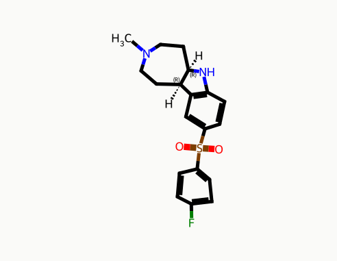 CN1CC[C@@H]2c3cc(S(=O)(=O)c4ccc(F)cc4)ccc3N[C@@H]2CC1